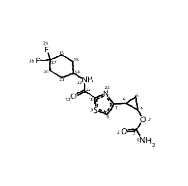 NC(=O)OC1CC1c1csc(C(=O)NC2CCC(F)(F)CC2)n1